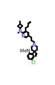 C=CCCc1cc(CCCN2CCC(C=C)(c3cc(Cl)ccc3NC)CC2)cnc1N(C)C1CC(C)C1